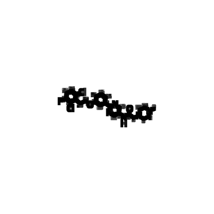 CN1CCN(CC(=O)Nc2cnc(-c3cccc(OCCc4c(Cl)ccc(F)c4Cl)c3)nc2)CC1